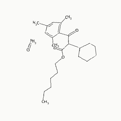 CCCCCCOC(=O)C(C(=O)c1c(C)cc(C)cc1C)C1CCCCC1.O=[PH3]